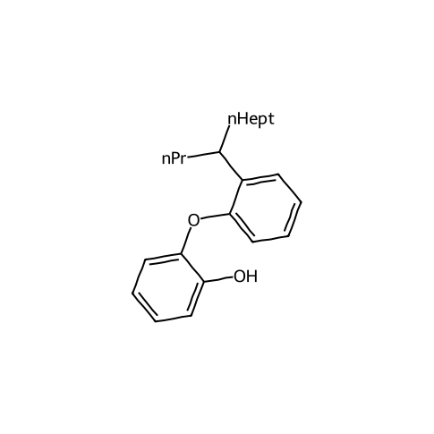 CCCCCCCC(CCC)c1ccccc1Oc1ccccc1O